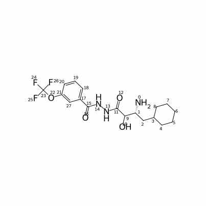 N[C@H](CC1CCCCC1)C(O)C(=O)NNC(=O)c1cccc(OC(F)(F)F)c1